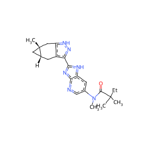 CCC(C)(C)C(=O)N(C)c1cnc2nc(-c3n[nH]c4c3C[C@@H]3C[C@]3(C)C4)[nH]c2c1